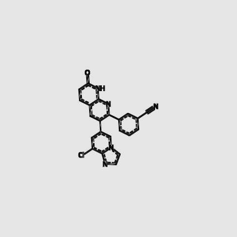 N#Cc1cccc(-c2nc3[nH]c(=O)ccc3cc2-c2cc(Cl)c3nccn3c2)c1